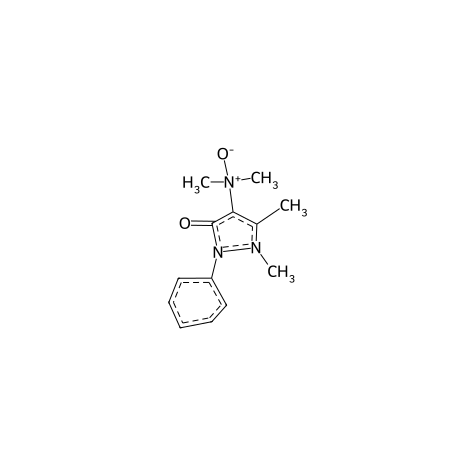 Cc1c([N+](C)(C)[O-])c(=O)n(-c2ccccc2)n1C